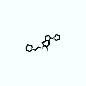 Fc1cc2c(cc1OCCN1CCCCC1)CCC2N1CCCC1